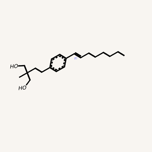 CCCCCC/C=C/c1ccc(CCC(C)(CO)CO)cc1